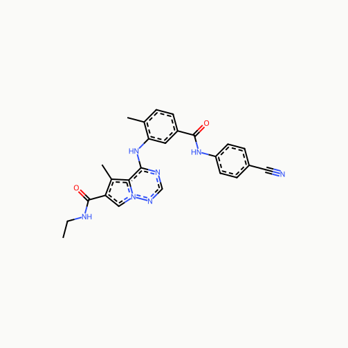 CCNC(=O)c1cn2ncnc(Nc3cc(C(=O)Nc4ccc(C#N)cc4)ccc3C)c2c1C